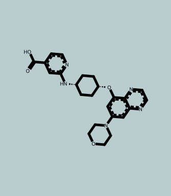 O=C(O)c1ccnc(N[C@H]2CC[C@@H](Oc3cc(N4CCOCC4)cc4nccnc34)CC2)c1